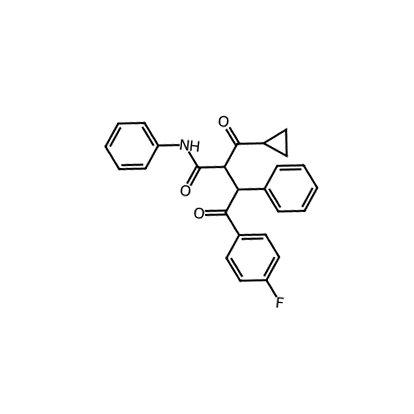 O=C(Nc1ccccc1)C(C(=O)C1CC1)C(C(=O)c1ccc(F)cc1)c1ccccc1